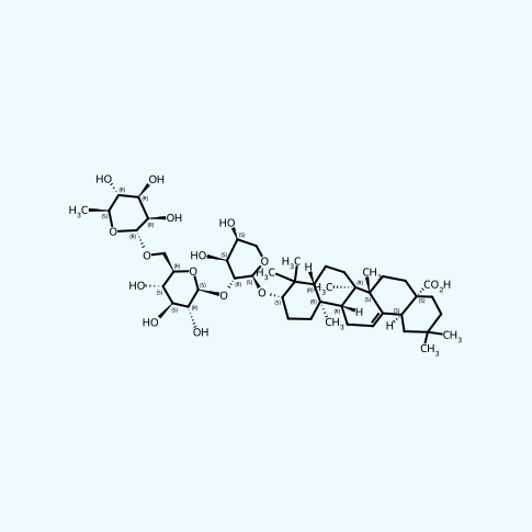 C[C@@H]1O[C@@H](OC[C@H]2O[C@@H](O[C@H]3[C@H](O[C@H]4CC[C@]5(C)[C@H]6CC=C7[C@@H]8CC(C)(C)CC[C@]8(C(=O)O)CC[C@@]7(C)[C@]6(C)CC[C@H]5C4(C)C)OC[C@H](O)[C@@H]3O)[C@H](O)[C@@H](O)[C@@H]2O)[C@H](O)[C@H](O)[C@H]1O